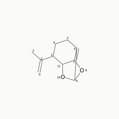 C=C(C)C1CCC2=C3OC2OC31